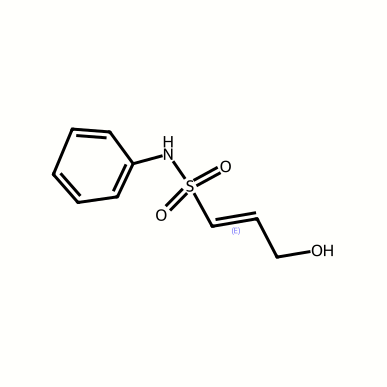 O=S(=O)(/C=C/CO)Nc1ccccc1